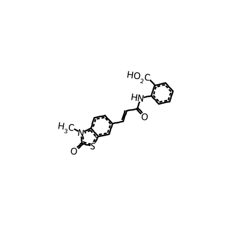 Cn1c(=O)sc2cc(/C=C/C(=O)Nc3ccccc3C(=O)O)ccc21